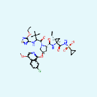 C=C[C@@H]1C[C@]1(NC(=O)[C@@H]1C[C@@H](Oc2ncc(OC)c3ccc(Cl)cc23)CN1C(=O)C(Nc1nsnc1OCC)C(C)(C)C)C(=O)NS(=O)(=O)C1CC1